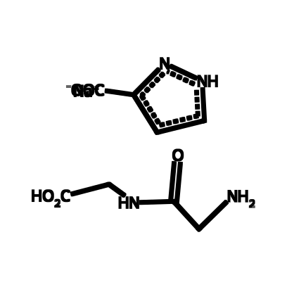 NCC(=O)NCC(=O)O.O=C([O-])c1cc[nH]n1.[Na+]